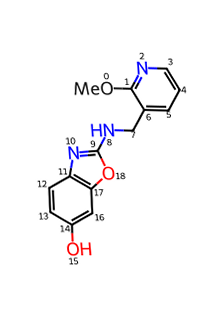 COc1ncccc1CNc1nc2ccc(O)cc2o1